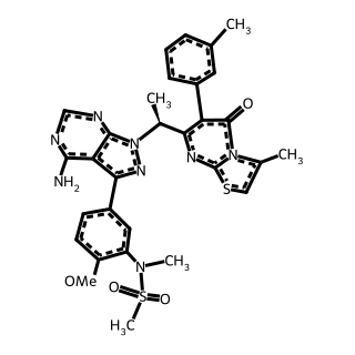 COc1ccc(-c2nn([C@@H](C)c3nc4scc(C)n4c(=O)c3-c3cccc(C)c3)c3ncnc(N)c23)cc1N(C)S(C)(=O)=O